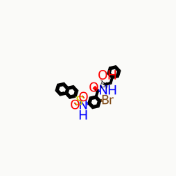 O=C(N[C@H](CO)Cc1ccccc1)c1cc(NS(=O)(=O)c2ccc3ccccc3c2)ccc1Br